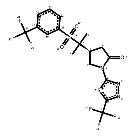 CC(C)([C@H]1CC(=O)N(c2nnc(C(F)(F)F)s2)C1)S(=O)(=O)c1cccc(C(F)(F)F)c1